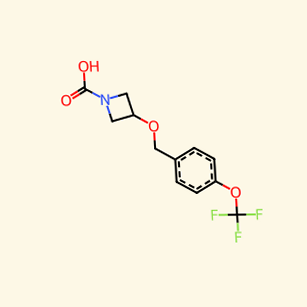 O=C(O)N1CC(OCc2ccc(OC(F)(F)F)cc2)C1